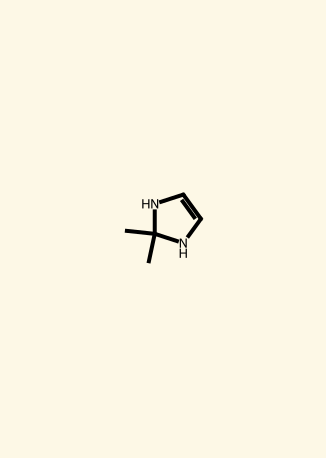 CC1(C)NC=CN1